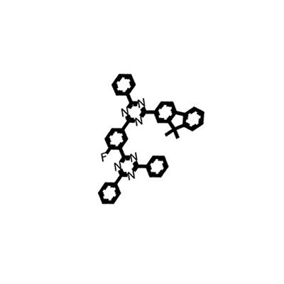 CC1(C)c2ccccc2-c2ccc(-c3nc(-c4ccccc4)nc(-c4ccc(F)c(-c5nc(-c6ccccc6)nc(-c6ccccc6)n5)c4)n3)cc21